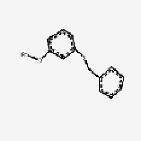 CC(C)Oc1cccc(SCc2ccccc2)c1